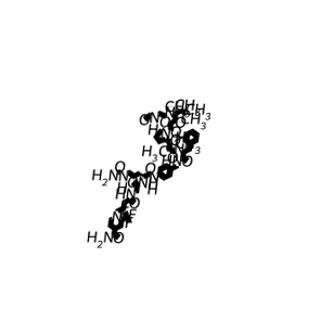 CCC(C)C(C(CC(=O)N1CCCC1C(OC)[C@@H](C)C(=O)NC(Cc1ccccc1)C(=O)NCc1ccc(NC(=O)[C@H](CCCNC(N)=O)NC(=O)CNC(=O)CCCN2CCC(C(N)=O)CC2C(F)(F)F)cc1)OC)N(C)C(=O)CNC=O